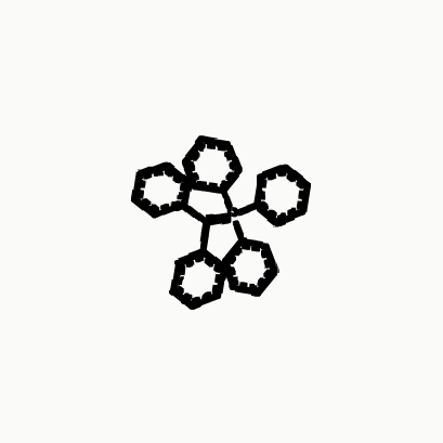 c1ccc(C(c2ccccc2)=P(c2ccccc2)(c2ccccc2)c2ccccc2)cc1